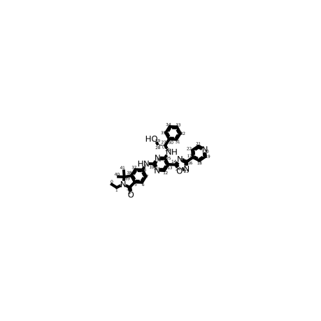 CCN1C(=O)c2ccc(Nc3ncc(-c4nc(-c5ccncc5)no4)c(N[C@H](CO)c4ccccc4)n3)cc2C1(C)C